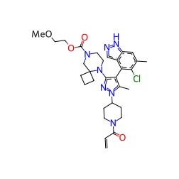 C=CC(=O)N1CCC(n2nc(N3CCN(C(=O)OCCOC)CC34CCC4)c(-c3c(Cl)c(C)cc4[nH]ncc34)c2C)CC1